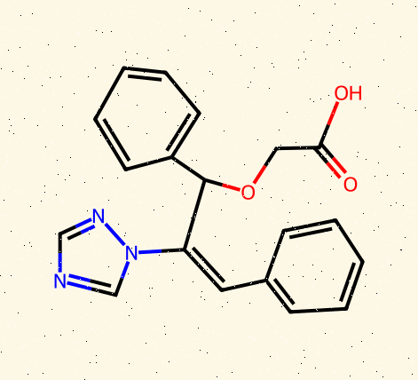 O=C(O)COC(/C(=C\c1ccccc1)n1cncn1)c1ccccc1